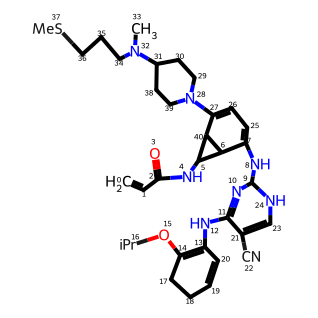 C=CC(=O)NC1C2C(NC3N=C(NC4=C(OC(C)C)CCC=C4)C(C#N)=CN3)=CC=C(N3CCC(N(C)CCCSC)CC3)C12